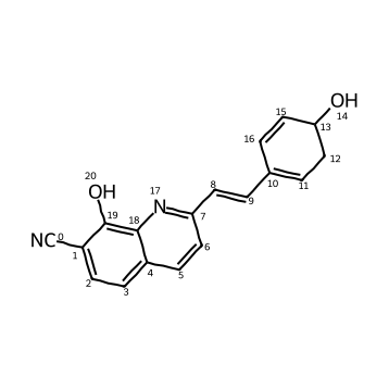 N#Cc1ccc2ccc(C=CC3=CCC(O)C=C3)nc2c1O